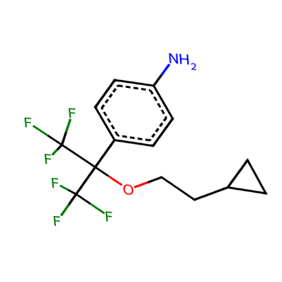 Nc1ccc(C(OCCC2CC2)(C(F)(F)F)C(F)(F)F)cc1